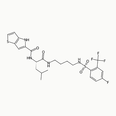 CC(C)C[C@H](NC(=O)c1cc2sccc2[nH]1)C(=O)NCCCCNS(=O)(=O)c1ccc(F)cc1C(F)(F)F